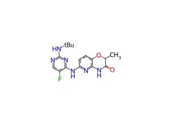 CC1Oc2ccc(Nc3nc(NC(C)(C)C)ncc3F)nc2NC1=O